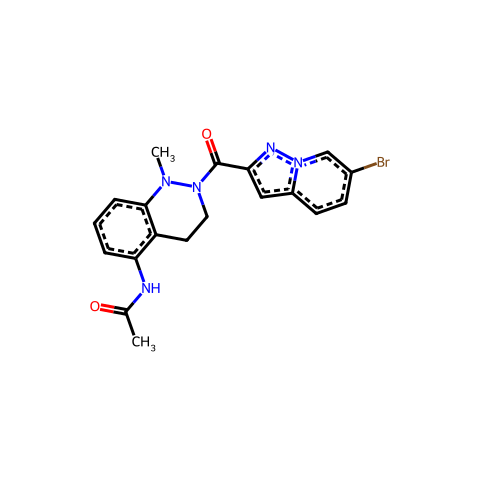 CC(=O)Nc1cccc2c1CCN(C(=O)c1cc3ccc(Br)cn3n1)N2C